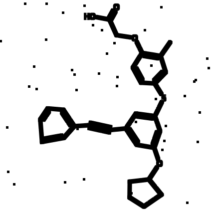 Cc1cc(Sc2cc(C#Cc3ccccc3)cc(OC3CCCC3)c2)ccc1OCC(=O)O